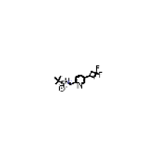 CC(C)(C)[S@+]([O-])/N=C/c1ccc(C2CC(F)(F)C2)cn1